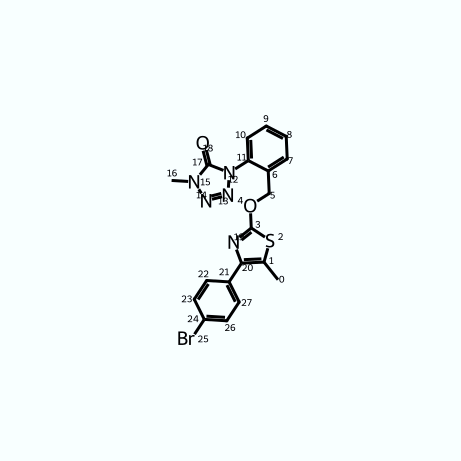 Cc1sc(OCc2ccccc2-n2nnn(C)c2=O)nc1-c1ccc(Br)cc1